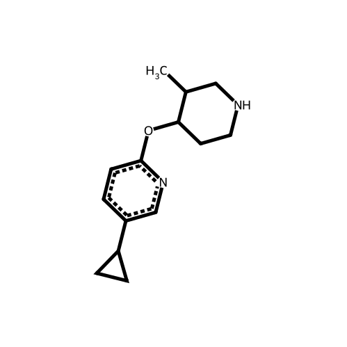 CC1CNCCC1Oc1ccc(C2CC2)cn1